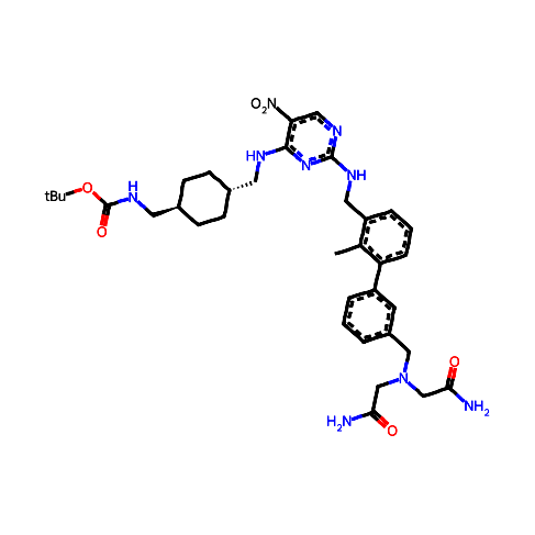 Cc1c(CNc2ncc([N+](=O)[O-])c(NC[C@H]3CC[C@H](CNC(=O)OC(C)(C)C)CC3)n2)cccc1-c1cccc(CN(CC(N)=O)CC(N)=O)c1